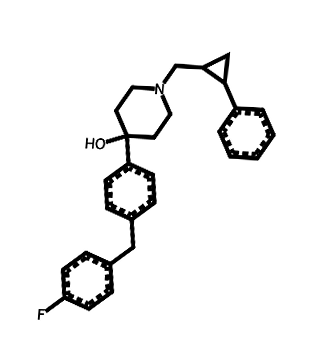 OC1(c2ccc(Cc3ccc(F)cc3)cc2)CCN(CC2CC2c2ccccc2)CC1